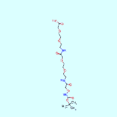 CC(C)(C)OC(=O)NOCC(=O)NCCOCCOCC(=O)NCCOCCOCC(=O)O